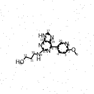 COc1ccc(-c2nc(NCCCO)nc3[nH]cnc23)cn1